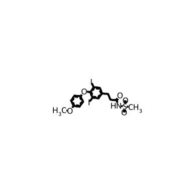 COc1ccc(Oc2c(I)cc(CCC(=O)NS(C)(=O)=O)cc2I)cc1